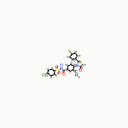 Cc1cc(C(=O)NS(=O)(=O)c2ccc(Cl)cc2F)ccc1N1C(=O)CSC1c1ccc(F)cc1